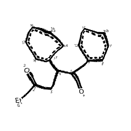 CCC(=O)CC(C(=O)c1ccccc1)c1ccccc1